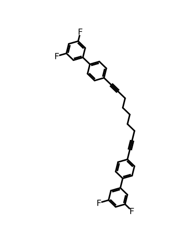 Fc1cc(F)cc(-c2ccc(C#CCCCCCC#Cc3ccc(-c4cc(F)cc(F)c4)cc3)cc2)c1